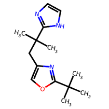 CC(C)(C)c1nc(CC(C)(C)c2ncc[nH]2)co1